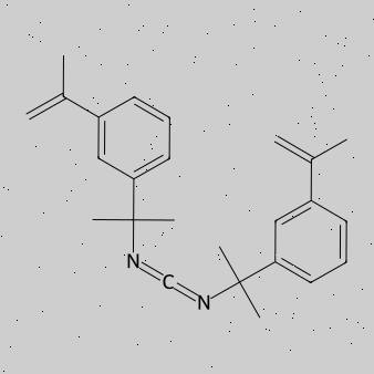 C=C(C)c1cccc(C(C)(C)N=C=NC(C)(C)c2cccc(C(=C)C)c2)c1